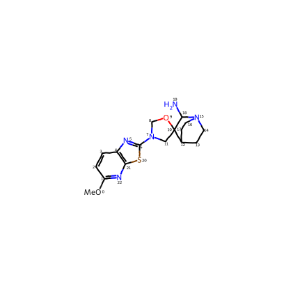 COc1ccc2nc(N3COC4(C3)C3CCN(CC3)C4N)sc2n1